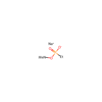 CCP(=O)([O-])ONC.[Na+]